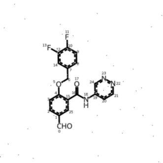 O=Cc1ccc(OCc2ccc(F)c(F)c2)c(C(=O)Nc2ccnnc2)c1